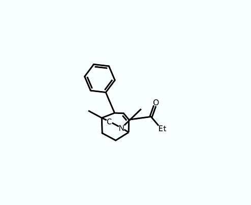 CCC(=O)C1=CC(c2ccccc2)C2(C)CCC1N(C)C2